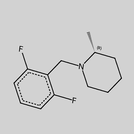 C[C@@H]1CCCCN1Cc1c(F)cccc1F